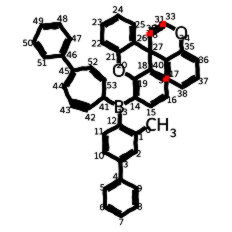 Cc1cc(-c2ccccc2)ccc1B(c1cccc2c1Oc1ccccc1C21c2ccccc2Oc2ccccc21)C1C#CC=C(c2ccccc2)C=C1